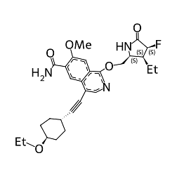 CCO[C@H]1CC[C@H](C#Cc2cnc(OC[C@H]3NC(=O)[C@@H](F)[C@H]3CC)c3cc(OC)c(C(N)=O)cc23)CC1